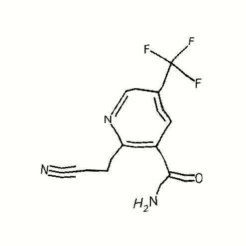 N#CCc1ncc(C(F)(F)F)cc1C(N)=O